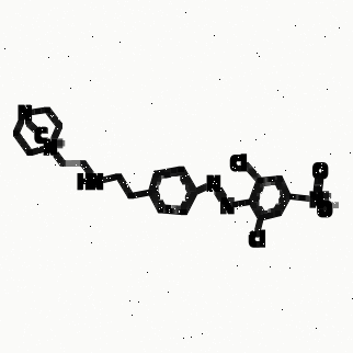 O=[N+]([O-])c1cc(Cl)c(N=Nc2ccc(CCNCC[N+]34CCN(CC3)CC4)cc2)c(Cl)c1